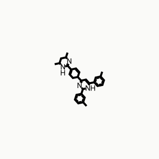 Cc1cccc(C2=CC(C3C=CC(C4=NC(C)CC(C)N4)=CC3)=NC(c3cccc(C)c3)N2)c1